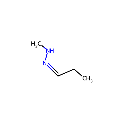 CC/C=N\NC